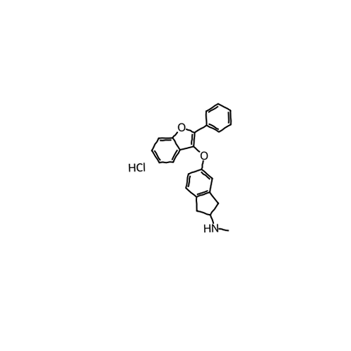 CNC1Cc2ccc(Oc3c(-c4ccccc4)oc4ccccc34)cc2C1.Cl